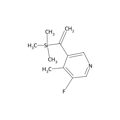 C=C(c1cncc(F)c1C)[Si](C)(C)C